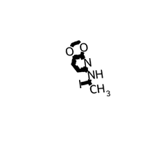 CC(I)Nc1ccc2c(n1)OCCO2